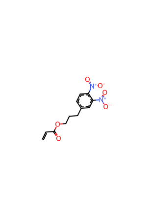 C=CC(=O)OCCCc1ccc([N+](=O)[O-])c([N+](=O)[O-])c1